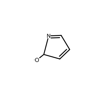 [O]C1C=CC=N1